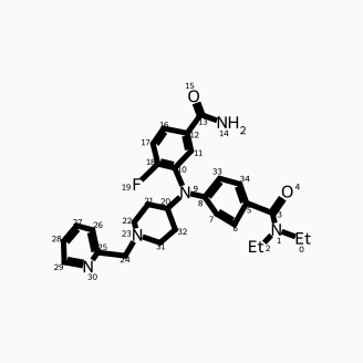 CCN(CC)C(=O)c1ccc(N(c2cc(C(N)=O)ccc2F)C2CCN(Cc3ccccn3)CC2)cc1